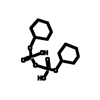 O=P(O)(OC1CCCCC1)OP(=O)(O)OC1CCCCC1